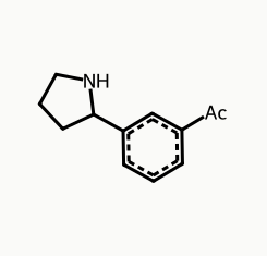 CC(=O)c1cccc(C2CCCN2)c1